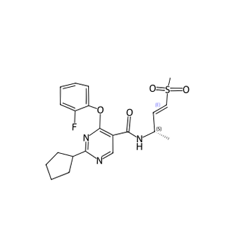 C[C@@H](/C=C/S(C)(=O)=O)NC(=O)c1cnc(C2CCCC2)nc1Oc1ccccc1F